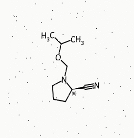 CC(C)OCN1CCC[C@@H]1C#N